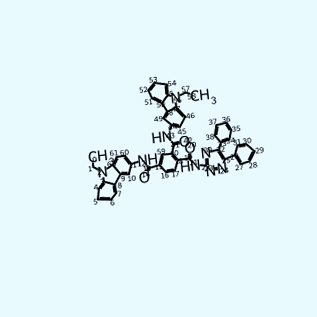 CCn1c2ccccc2c2cc(NC(=O)c3ccc(C(=O)Nc4nnc(-c5ccccc5)c(-c5ccccc5)n4)c(C(=O)Nc4ccc5c(c4)c4ccccc4n5CC)c3)ccc21